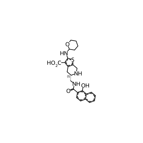 O=C(NC[C@@H]1Cc2c(sc(NC3CCCCO3)c2C(=O)O)CN1)c1ccc2ccccc2c1O